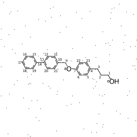 OCCCc1ccc(OCc2ccc(-c3ccccc3)cc2)cc1